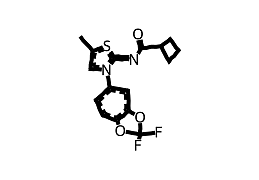 Cc1cn(-c2ccc3c(c2)OC(F)(F)O3)/c(=N/C(=O)C2CCC2)s1